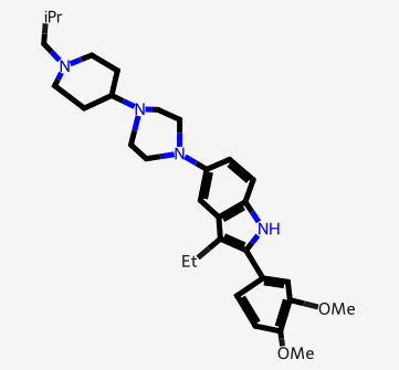 CCc1c(-c2ccc(OC)c(OC)c2)[nH]c2ccc(N3CCN(C4CCN(CC(C)C)CC4)CC3)cc12